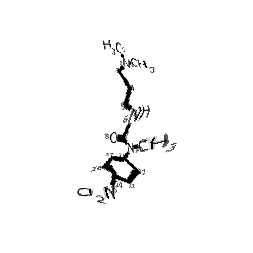 CN(C)CCCNC(=O)N(C)c1ccc([N+](=O)[O-])cc1